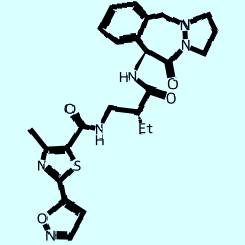 CC[C@H](CNC(=O)c1sc(-c2ccno2)nc1C)C(=O)N[C@@H]1C(=O)N2CCCN2Cc2ccccc21